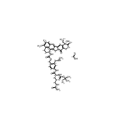 CC[C@@]1(O)C(=O)OCc2c1cc1n(c2=O)Cc2c-1nc1cc(F)c(C)c3c1c2[C@@H](NC(=O)OCc1ccc(NC(=O)[C@H](CCCNC(N)=O)NC(=O)OC(C)(C)C)cc1CNC)CC3.O=CO